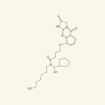 CCCC(C1CCCCC1)N(CCCCCCO)C(=O)CCCOc1cccc2c(=O)n3c(nc12)NC(=O)C3